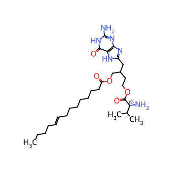 CCCCC=CCCCCCCCC(=O)OCC(CCOC(=O)[C@@H](N)C(C)C)Cc1nc2nc(N)[nH]c(=O)c2[nH]1